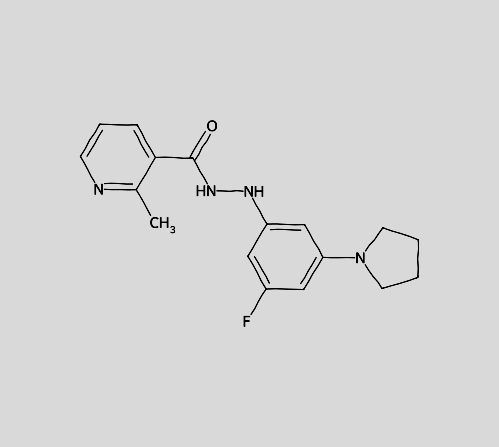 Cc1ncccc1C(=O)NNc1cc(F)cc(N2CCCC2)c1